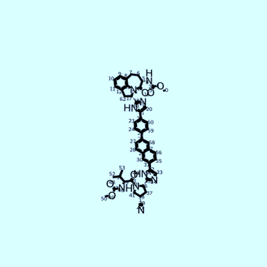 COC(=O)N[C@H]1CCc2cccc3c2N(C1=O)[C@H](c1ncc(-c2ccc(-c4ccc5cc(-c6cnc([C@@H]7C[C@H](C#N)CN7C(=O)[C@@H](NC(=O)OC)C(C)C)[nH]6)ccc5c4)cc2)[nH]1)C3